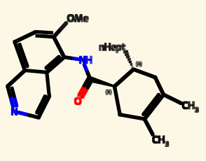 CCCCCCC[C@@H]1CC(C)=C(C)C[C@H]1C(=O)Nc1c(OC)ccc2cnccc12